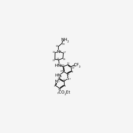 CCOC(=O)c1cnc2c(c1)Sc1cc(C(F)(F)F)cc(NC3CCN(CCN)CC3)c1N2